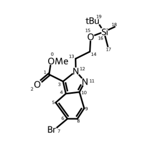 COC(=O)c1c2cc(Br)ccc2nn1CCO[Si](C)(C)C(C)(C)C